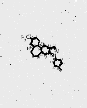 CC[C@@]12CC=C(C(F)(F)F)C[C@@H]1CCCc1cc3c(cnn3-c3ccc(F)cc3)cc12